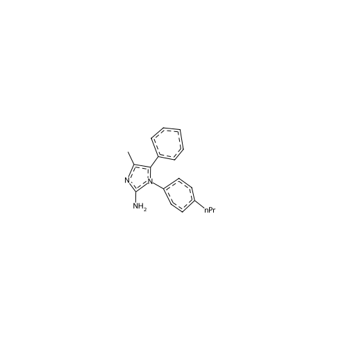 CCCc1ccc(-n2c(N)nc(C)c2-c2ccccc2)cc1